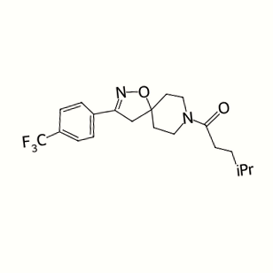 CC(C)CCC(=O)N1CCC2(CC1)CC(c1ccc(C(F)(F)F)cc1)=NO2